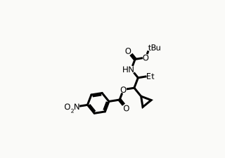 CCC(NC(=O)OC(C)(C)C)C(OC(=O)c1ccc([N+](=O)[O-])cc1)C1CC1